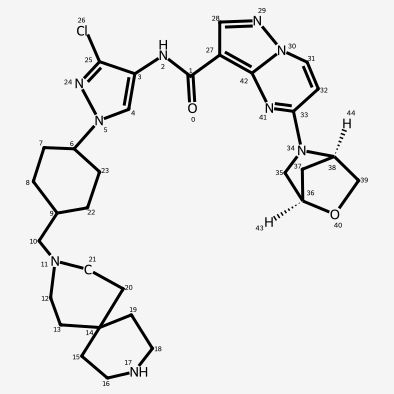 O=C(Nc1cn(C2CCC(CN3CCC4(CCNCC4)CC3)CC2)nc1Cl)c1cnn2ccc(N3C[C@H]4C[C@@H]3CO4)nc12